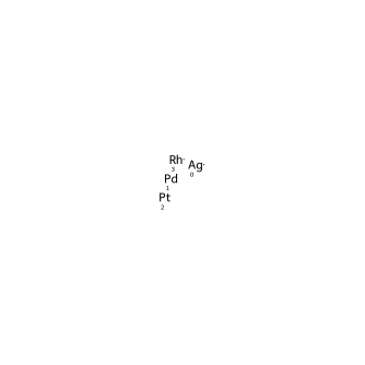 [Ag].[Pd].[Pt].[Rh]